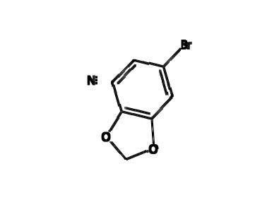 Brc1ccc2c(c1)OCO2.[N]